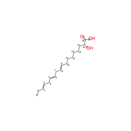 CCC=CCC=CCC=CCCCCCCC(O)C(=O)O